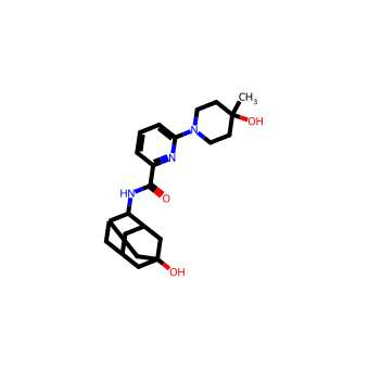 CC1(O)CCN(c2cccc(C(=O)NC3C4CC5CC3CC(O)(C5)C4)n2)CC1